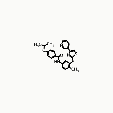 Cc1ccc(NC(=O)c2ccc(OC(C)C)cc2)cc1Cc1nc(-c2cccnc2)cs1